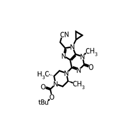 C[C@@H]1CN(c2nc(=O)n(C)c3c2nc(CC#N)n3C2CC2)[C@@H](C)CN1C(=O)OC(C)(C)C